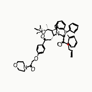 C=CCCC(=O)C(N1C(=O)[C@H]([C@@H](C)O[Si](C)(C)C)[C@H]1CC(=O)c1ccc(OCC(=O)N2CCOCC2)cc1)=P(c1ccccc1)(c1ccccc1)c1ccccc1